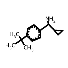 CC(C)(C)c1ccc(C(N)C2CC2)cc1